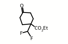 CCOC(=O)C1(C(F)F)CCC(=O)CC1